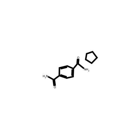 C1CCCC1.NC(=O)c1ccc(C(N)=O)cc1